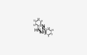 N=N.c1ccc(/N=N/c2ccccc2)cc1